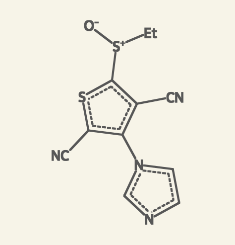 CC[S+]([O-])c1sc(C#N)c(-n2ccnc2)c1C#N